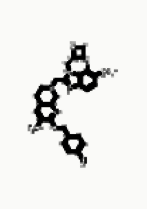 O=C(O)c1ccc2nc(CN3CCc4cc(C(F)(F)F)c(OCc5ccc(Cl)cc5)nc4C3)n(C[C@@H]3CCO3)c2c1F